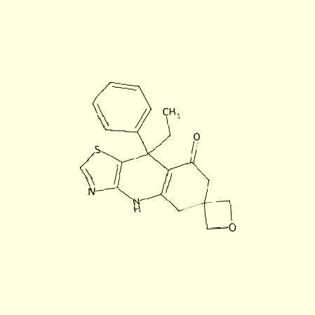 CCC1(c2ccccc2)C2=C(CC3(COC3)CC2=O)Nc2ncsc21